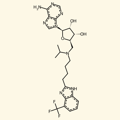 CC(C)N(CCCCc1nc2c(C(F)(F)F)cccc2[nH]1)C[C@H]1O[C@@H](n2cnc3c(N)ncnc32)[C@H](O)[C@@H]1O